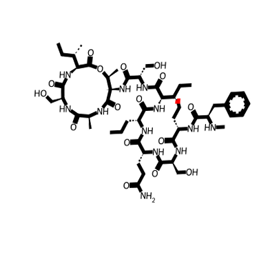 CCC[C@H](NC(=O)[C@@H](Cc1ccccc1)NC)C(=O)N[C@@H](CO)C(=O)N[C@H](CCC(N)=O)C(=O)N[C@H](CCC)C(=O)N[C@H](C(=O)N[C@@H](CO)C(=O)N[C@H]1C(=O)N[C@@H](C)C(=O)N[C@@H](CO)C(=O)N[C@@H]([C@@H](C)CC)C(=O)O[C@H]1C)[C@@H](C)CC